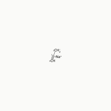 C#C[CH2-].[Na+]